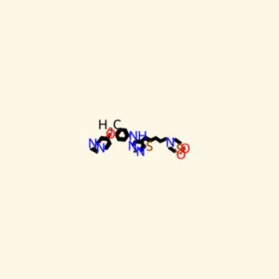 Cc1cc(Nc2ncnc3sc(CCCN4CCS(=O)(=O)CC4)cc23)ccc1Oc1ccn2ccnc2c1